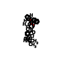 Cc1nc2ccccc2n1C1C[C@H]2CC[C@@H](C1)N2CCC1(c2ccccc2)CCN(C(=O)c2c(Cl)ccc(S(=O)(=O)NC(C)C)c2Cl)CC1